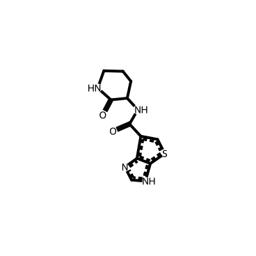 O=C(NC1CCCNC1=O)c1csc2[nH]cnc12